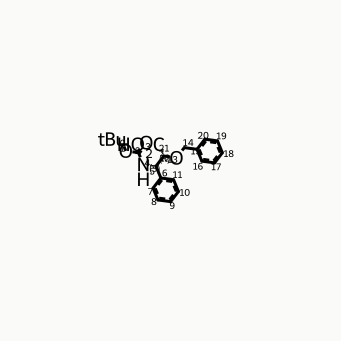 CC(C)(C)OC(=O)N[C@@H](c1ccccc1)[C@@H](OCc1ccccc1)C(=O)O